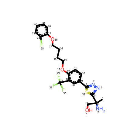 CC(N)(CO)c1nnc(-c2ccc(OCCCCOc3ccccc3F)c(C(F)(F)F)c2)s1